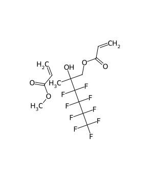 C=CC(=O)OC.C=CC(=O)OCC(C)(O)C(F)(F)C(F)(F)C(F)(F)C(F)(F)F